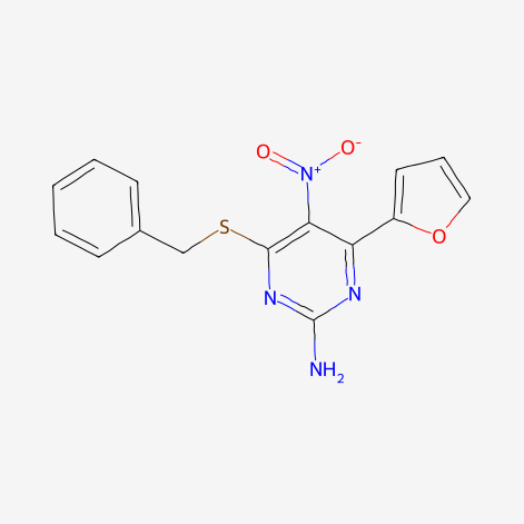 Nc1nc(SCc2ccccc2)c([N+](=O)[O-])c(-c2ccco2)n1